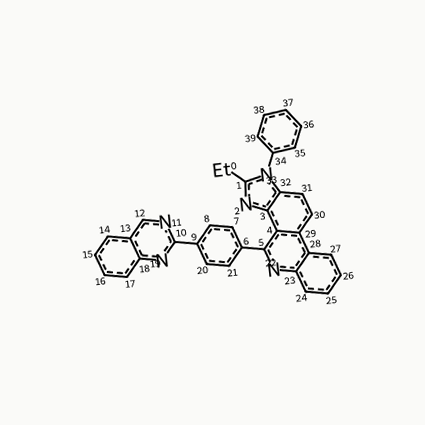 CCc1nc2c3c(-c4ccc(-c5ncc6ccccc6n5)cc4)nc4ccccc4c3ccc2n1-c1ccccc1